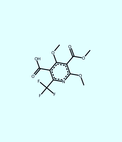 COC(=O)c1c(OC)nc(C(F)(F)F)c(C(=O)O)c1OC